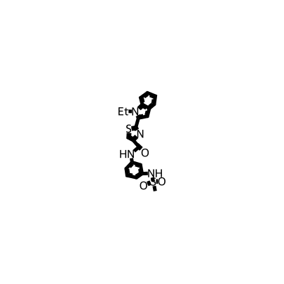 CCn1c(-c2nc(C(=O)Nc3cccc(NS(C)(=O)=O)c3)cs2)cc2ccccc21